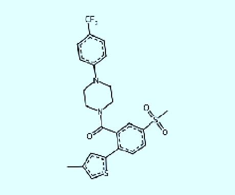 Cc1csc(-c2ccc(S(C)(=O)=O)cc2C(=O)N2CCN(c3ccc(C(F)(F)F)cc3)CC2)c1